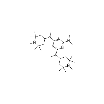 CN(C)c1nc(N(C)C2CC(C)(C)N(C)C(C)(C)C2)nc(N(C)C2CC(C)(C)N(C)C(C)(C)C2)n1